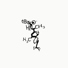 Cc1cc(C(C)N[S@+]([O-])C(C)(C)C)ncc1OCC(F)F